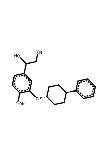 COc1ccc(C(O)CC#N)cc1O[C@H]1CC[C@H](c2ccccc2)CC1